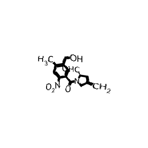 C=C1C[C@@H](C=O)N(C(=O)c2cc(CO)c(C)cc2[N+](=O)[O-])C1